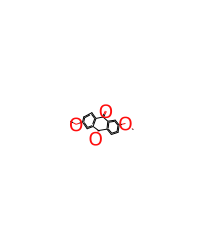 COc1ccc2c(c1)C(=O)c1ccc(OC)cc1C2=O